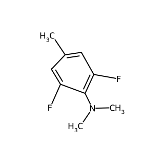 Cc1cc(F)c(N(C)C)c(F)c1